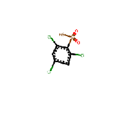 O=S(=O)(S)c1c(Cl)cc(Cl)cc1Cl